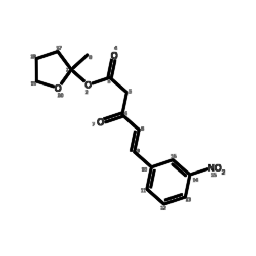 CC1(OC(=O)CC(=O)C=Cc2cccc([N+](=O)[O-])c2)CCCO1